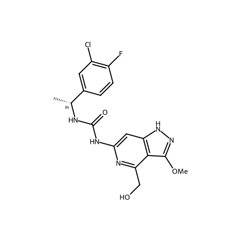 COc1n[nH]c2cc(NC(=O)N[C@H](C)c3ccc(F)c(Cl)c3)nc(CO)c12